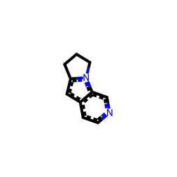 c1cc2cc3n(c2cn1)CCC3